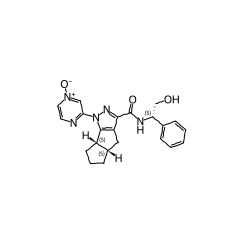 O=C(N[C@H](CO)c1ccccc1)c1nn(-c2c[n+]([O-])ccn2)c2c1C[C@@H]1CCC[C@H]21